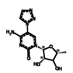 C[C@H]1O[C@@H](n2cc(-n3ccnn3)c(N)nc2=O)[C@@H](O)C1O